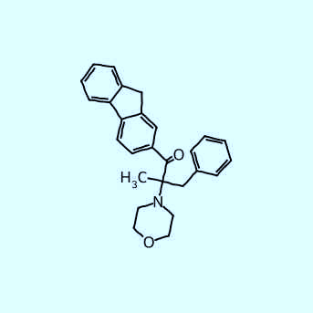 CC(Cc1ccccc1)(C(=O)c1ccc2c(c1)Cc1ccccc1-2)N1CCOCC1